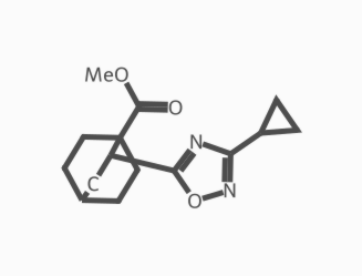 COC(=O)C12CCC(CC1)CC2c1nc(C2CC2)no1